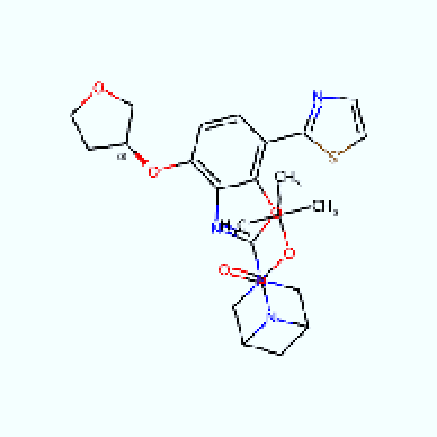 CC(C)(C)OC(=O)N1C2CC1CN(c1nc3c(O[C@H]4CCOC4)ccc(-c4nccs4)c3o1)C2